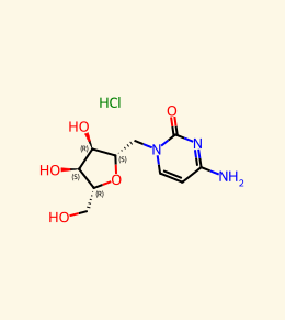 Cl.Nc1ccn(C[C@@H]2O[C@H](CO)[C@@H](O)[C@H]2O)c(=O)n1